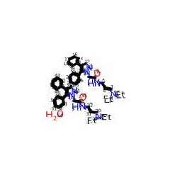 CCN(CC)CCCNC(=O)Cn1ncc(-c2ccccc2)c1-c1ccccc1.CCN(CC)CCCNC(=O)Cn1ncc(-c2ccccc2)c1-c1ccccc1.O